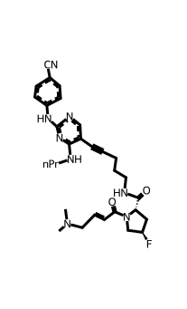 CCCNc1nc(Nc2ccc(C#N)cc2)ncc1C#CCCCNC(=O)[C@@H]1C[C@@H](F)CN1C(=O)/C=C/CN(C)C